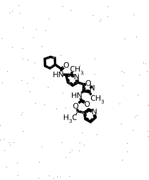 Cc1nc(-c2onc(C)c2NC(=O)O[C@@H](C)c2cccnc2)ccc1NC(=O)C1CCCCC1